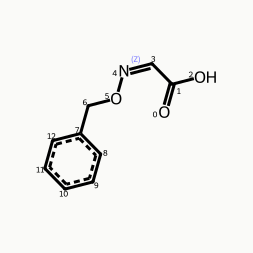 O=C(O)/C=N\OCc1ccccc1